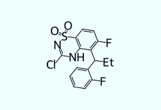 CCC(c1ccccc1F)c1c(F)ccc2c1NC(Cl)=NS2(=O)=O